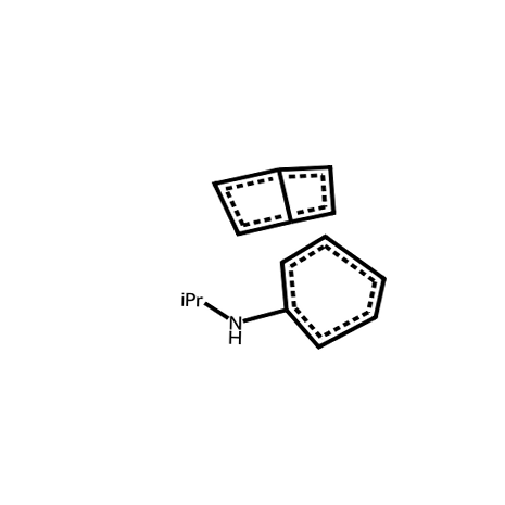 CC(C)Nc1ccccc1.c1cc2ccc1-2